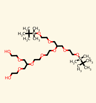 CC(C)(C)[Si](C)(C)OCCOCC(COCCO[Si](C)(C)C(C)(C)C)OCCOCCOC(COCCO)COCCO